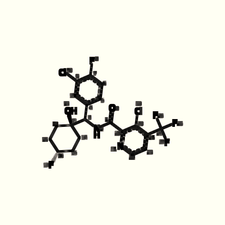 O=C(NC(c1ccc(F)c(Cl)c1)[C@]1(O)CC[C@H](F)CC1)c1nccc(C(F)(F)F)c1Cl